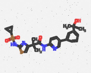 CC(C)(O)c1cccc(-c2ccc(NC(=O)C(C)(C)c3csc(NS(=O)(=O)C4CC4)n3)nc2)c1